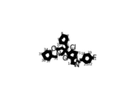 O=C1CC(Cc2ccccc2)(c2cc3cnn(-c4ccc(F)cc4)c3cc2Cl)C(=O)N1Cc1ccccc1